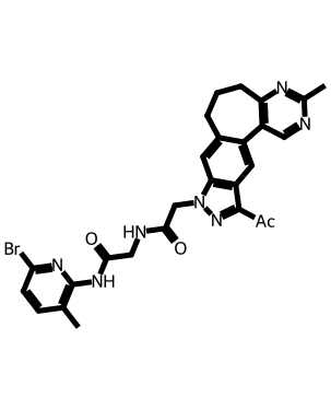 CC(=O)c1nn(CC(=O)NCC(=O)Nc2nc(Br)ccc2C)c2cc3c(cc12)-c1cnc(C)nc1CCC3